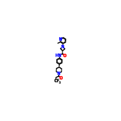 Cc1ncccc1N1CC(C(=O)Nc2ccc(C3CCN(C(=O)CC(F)(F)F)CC3)cc2)C1